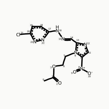 CC(=O)OCCn1c([N+](=O)[O-])cnc1C=NNc1ccc(Cl)nn1